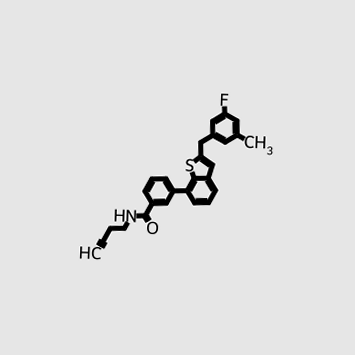 C#CCCNC(=O)c1cccc(-c2cccc3cc(Cc4cc(C)cc(F)c4)sc23)c1